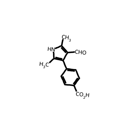 Cc1[nH]c(C)c(-c2ccc(C(=O)O)cc2)c1C=O